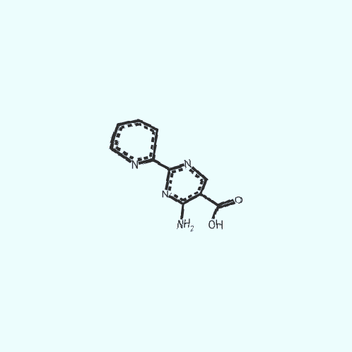 Nc1nc(-c2ccccn2)ncc1C(=O)O